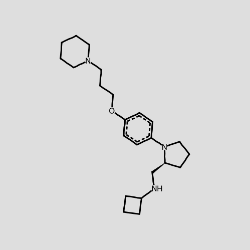 c1cc(N2CCC[C@H]2CNC2CCC2)ccc1OCCCN1CCCCC1